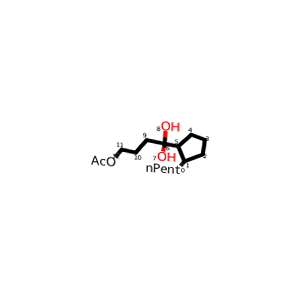 CCCCCC1CCCC1C(O)(O)CCCOC(C)=O